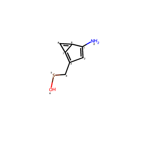 Nc1cc(CSO)c2cc1-2